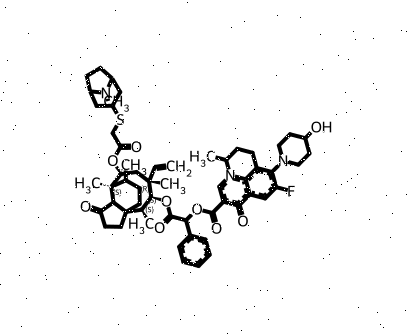 C=C[C@@]1(C)C[C@H](OC(=O)CSC2CC3CCC(C2)N3C)[C@@]2(C)C(C)CCC3(CCC(=O)C32)[C@H](C)[C@@H]1OC(=O)C(OC(=O)c1cn2c3c(c(N4CCC(O)CC4)c(F)cc3c1=O)CCC2C)c1ccccc1